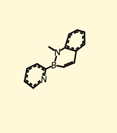 CN1B(c2ccccn2)C=Cc2ccccc21